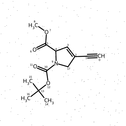 C#CC1=CC(C(=O)OC)N(C(=O)OC(C)(C)C)C1